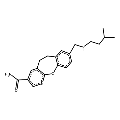 CC(C)CCNCc1ccc2c(c1)CCc1cc(C(N)=O)cnc1O2